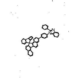 c1ccc(-c2nc3ccccc3n2-c2ccc(-c3ccc4c5c(ccc4c3)-c3c(ccc4ccccc34)C53c4ccccc4-c4ccccc43)cc2)cc1